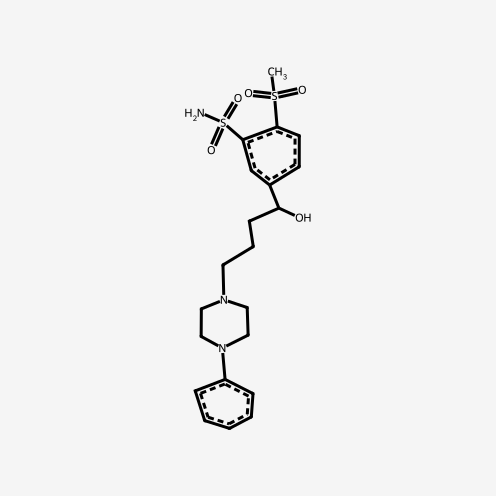 CS(=O)(=O)c1ccc(C(O)CCCN2CCN(c3ccccc3)CC2)cc1S(N)(=O)=O